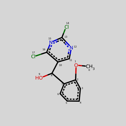 COc1ccccc1C(O)c1cnc(Cl)nc1Cl